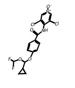 O=C(Nc1c(Cl)c[n+]([O-])cc1Cl)c1ccc(OC(OC(F)F)C2CC2)cc1